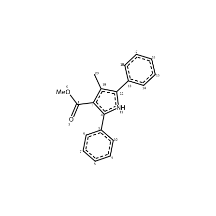 COC(=O)c1c(-c2ccccc2)[nH]c(-c2ccccc2)c1C